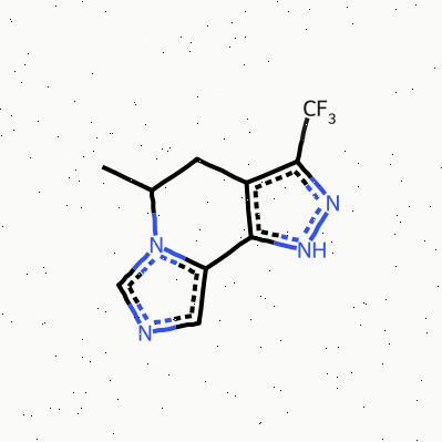 CC1Cc2c(C(F)(F)F)n[nH]c2-c2cncn21